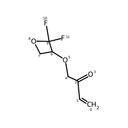 C=CC(=O)COC1COC1(F)F